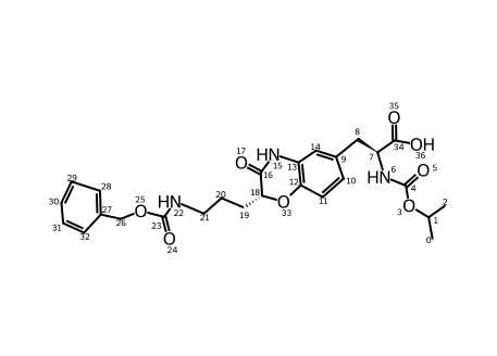 CC(C)OC(=O)N[C@@H](Cc1ccc2c(c1)NC(=O)[C@@H](CCCNC(=O)OCc1ccccc1)O2)C(=O)O